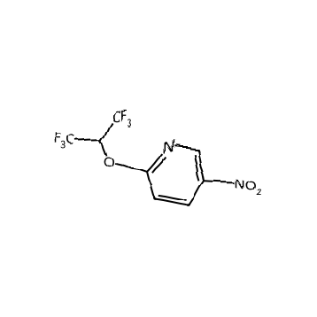 O=[N+]([O-])c1ccc(OC(C(F)(F)F)C(F)(F)F)nc1